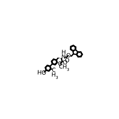 COC(=O)[C@H](Cc1ccc(-c2ccc(O)cc2C)cc1)NC(=O)OCC1c2ccccc2-c2ccccc21